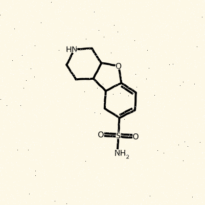 NS(=O)(=O)C1=CC=C2OC3CNCCC3C2C1